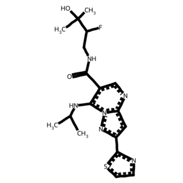 CC(C)Nc1c(C(=O)NCC(F)C(C)(C)O)cnc2cc(-c3nccs3)nn12